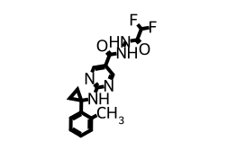 Cc1ccccc1C1(Nc2ncc(C(=O)NNC(=O)C(F)F)cn2)CC1